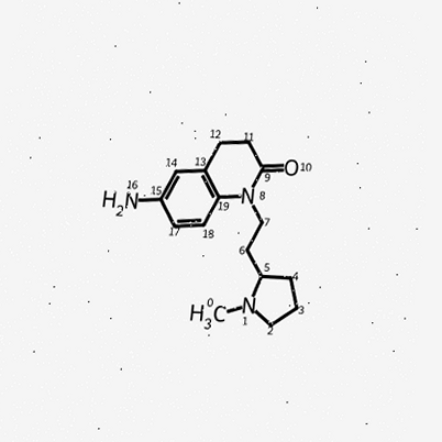 CN1CCCC1CCN1C(=O)CCc2cc(N)ccc21